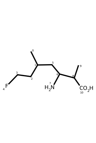 CC(CCF)CC(N)C(C)C(=O)O